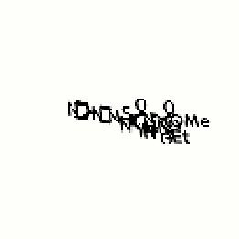 CCS(=O)(=O)N[C@@H](CNC(=O)c1sc(N2CCN(c3ccncc3)CC2)nc1C(C)C)C(=O)OC